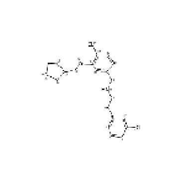 Clc1cccc(CCNCc2ccc(Cl)c(OCC3CNCO3)c2)c1